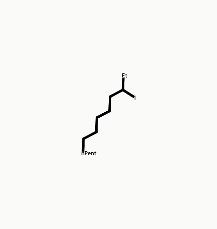 CCCCCCCCCCC(I)CC